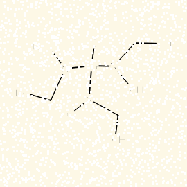 CC[N](C)[Sn]([CH3])([N](C)CC)[N](C)CC